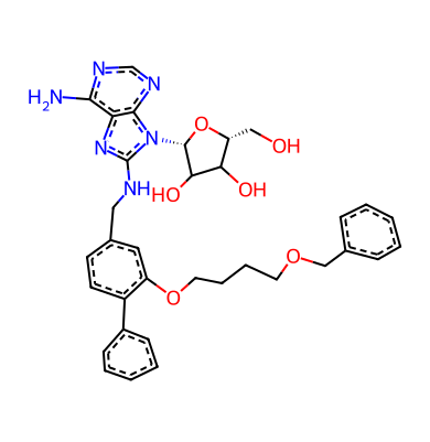 Nc1ncnc2c1nc(NCc1ccc(-c3ccccc3)c(OCCCCOCc3ccccc3)c1)n2[C@@H]1O[C@H](CO)C(O)C1O